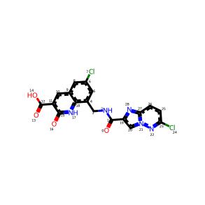 O=C(NCc1cc(Cl)cc2cc(C(=O)O)c(=O)[nH]c12)c1cn2nc(Cl)ccc2n1